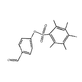 Cc1c(C)c(C)c(S(=O)(=O)Oc2ccc(C=O)cc2)c(C)c1C